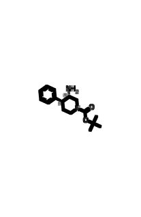 CC(C)(C)OC(=O)N1CC[C@@H](c2ccccc2)[C@H](N)C1